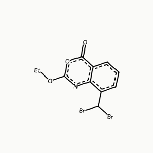 CCOc1nc2c(C(Br)Br)cccc2c(=O)o1